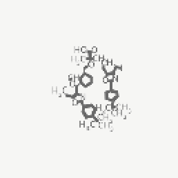 CCc1oc(-c2ccc(C(C)(C)C)cc2)nc1C(OC)[C@@H]1CCC[C@H](COC(C)(C)C(=O)O)C1.CCc1oc(-c2ccc(C(C)(C)C)cc2)nc1CI